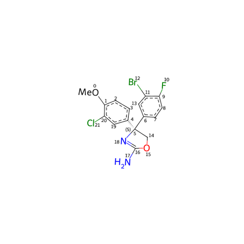 COc1ccc([C@]2(c3ccc(F)c(Br)c3)COC(N)=N2)cc1Cl